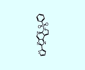 O=S(=O)(c1ccccc1)N1CC=c2c1ncc1c2=NC(c2cccs2)=N1